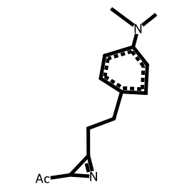 CC(=O)C1N=C1CCc1ccc(N(C)C)cc1